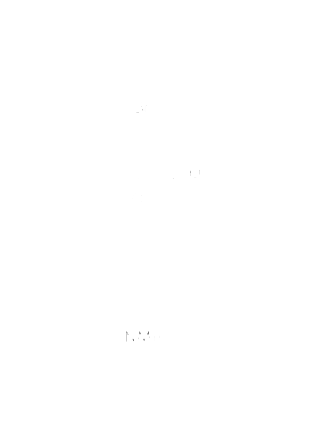 CNc1ccc(C=Cc2cc(=O)c3cc(Br)ccc3o2)cc1